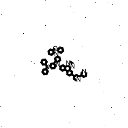 c1ccc(N(c2ccccc2)c2ccc3c(c2)c2cc(N4c5ccccc5Oc5ccccc54)ccc2n3-c2ccc3c4ccc(-c5ccnc(-c6cccnc6)c5)cc4c4nccnc4c3c2)cc1